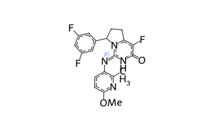 COc1ccc(/N=c2\[nH]c(=O)c(F)c3n2C(c2cc(F)cc(F)c2)CC3)c(C)n1